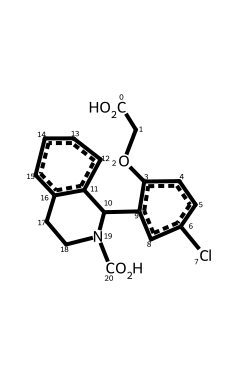 O=C(O)COc1ccc(Cl)cc1C1c2ccccc2CCN1C(=O)O